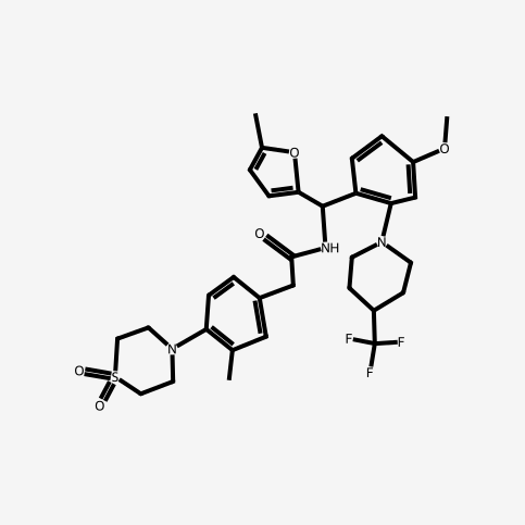 COc1ccc(C(NC(=O)Cc2ccc(N3CCS(=O)(=O)CC3)c(C)c2)c2ccc(C)o2)c(N2CCC(C(F)(F)F)CC2)c1